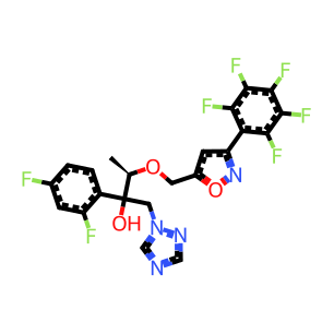 C[C@@H](OCc1cc(-c2c(F)c(F)c(F)c(F)c2F)no1)C(O)(Cn1cncn1)c1ccc(F)cc1F